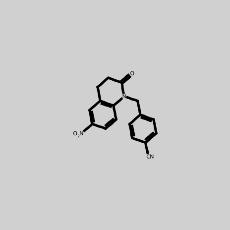 N#Cc1ccc(CN2C(=O)CCc3cc([N+](=O)[O-])ccc32)cc1